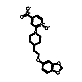 O=[N+]([O-])c1cc[n+]([O-])c(N2CCC(CCOc3ccc4c(c3)OCO4)CC2)c1